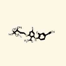 C#Cc1ccc(Nc2cc(F)cc(OCCC(O)C(C)(C)O)c2C(N)=O)c(F)c1